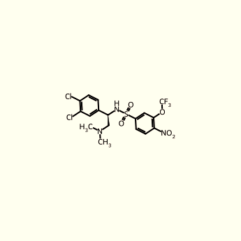 CN(C)C[C@H](NS(=O)(=O)c1ccc([N+](=O)[O-])c(OC(F)(F)F)c1)c1ccc(Cl)c(Cl)c1